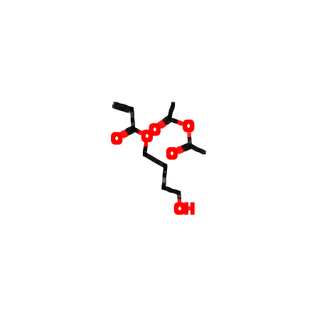 C=CC(=O)OCCCCO.CC(=O)OC(C)=O